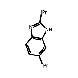 CC(C)c1ccc2nc(C(C)C)[nH]c2c1